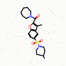 Cc1c(C(=O)N2CCCCCC2)oc2ccc(S(=O)(=O)N3CCC(C)CC3)cc12